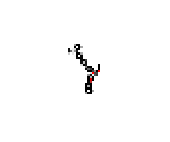 CC/C=C\C=C(/C)N(c1ccc(-c2ccc(-c3ccc(NC4=CC=CCC4)cc3)cc2)cc1)c1ccc(-c2ccc3c(c2)C=CCCC3)cc1